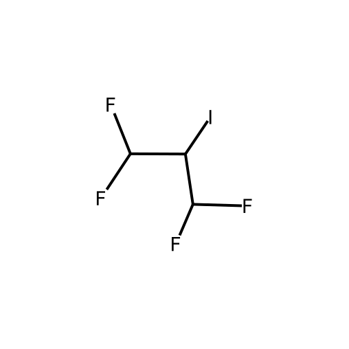 FC(F)C(I)C(F)F